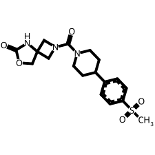 CS(=O)(=O)c1ccc(C2CCN(C(=O)N3CC4(COC(=O)N4)C3)CC2)cc1